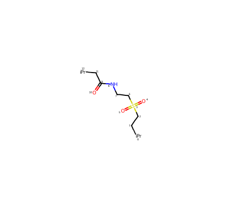 CC(C)CCS(=O)(=O)CCNC(=O)CC(C)C